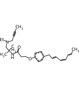 CC#CCN(CC)CC(C)(C)NC(=O)CCOc1ccc(C/C=C/C=C\C=C\C)cc1